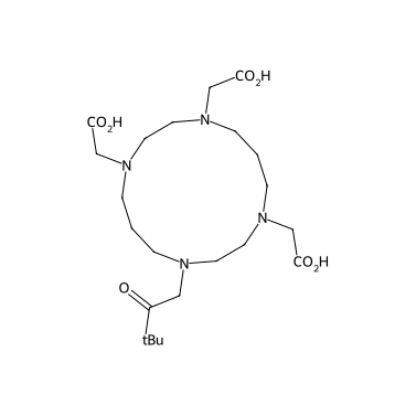 CC(C)(C)C(=O)CN1CCCN(CC(=O)O)CCN(CC(=O)O)CCCN(CC(=O)O)CC1